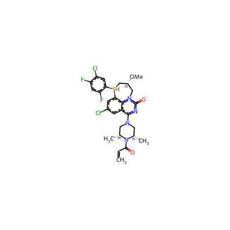 C=CC(=O)N1[C@H](C)CN(c2nc(=O)n3c4c(cc(Cl)cc24)[SH](c2cc(Cl)c(F)cc2F)C[C@H](OC)C3)C[C@@H]1C